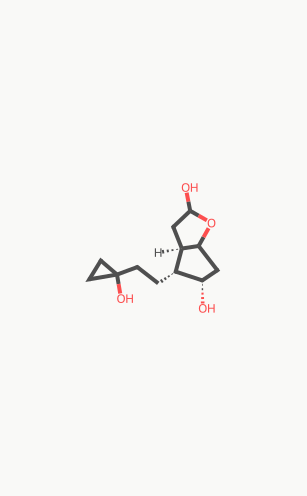 OC1C[C@H]2C(C[C@H](O)[C@@H]2CCC2(O)CC2)O1